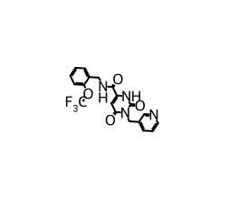 O=C(NCc1ccccc1OC(F)(F)F)c1cc(=O)n(Cc2cccnc2)c(=O)[nH]1